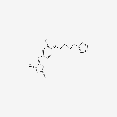 O=C1CC(=O)/C(=C/c2ccc(OCCCCc3ccccc3)c(Cl)c2)S1